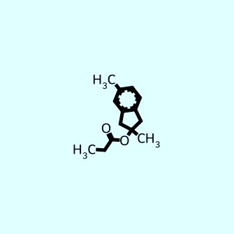 CCC(=O)OC1(C)Cc2ccc(C)cc2C1